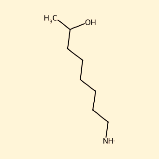 CC(O)CCCCCC[NH]